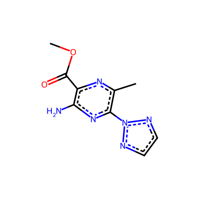 COC(=O)c1nc(C)c(-n2nccn2)nc1N